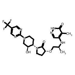 Cc1c(N[C@@H](C)CO[C@@H]2CCN([C@H]3CCN(c4ncc(C(F)(F)F)cn4)C[C@@H]3O)C2=O)cn[nH]c1=O